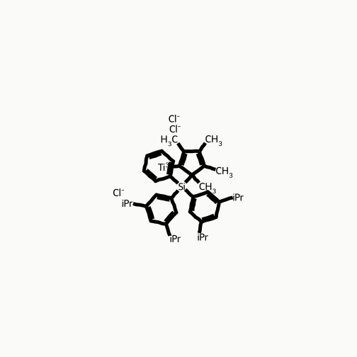 CC1=C(C)C(C)([Si](c2ccccc2)(c2cc(C(C)C)cc(C(C)C)c2)c2cc(C(C)C)cc(C(C)C)c2)[C]([Ti+3])=C1C.[Cl-].[Cl-].[Cl-]